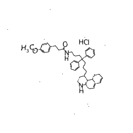 COc1ccc(CCC(=O)NCCCC(CCCC2CCNC3CC=C4C=CCCC4C23)(c2ccccc2)c2ccccc2)cc1.Cl